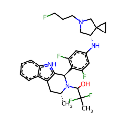 C[C@@H]1Cc2c([nH]c3ccccc23)[C@@H](c2c(F)cc(N[C@@H]3CN(CCCF)CC34CC4)cc2F)N1C(O)C(C)(F)F